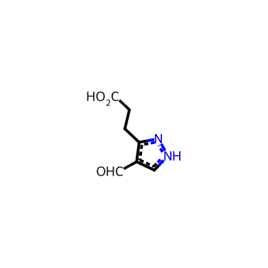 O=Cc1c[nH]nc1CCC(=O)O